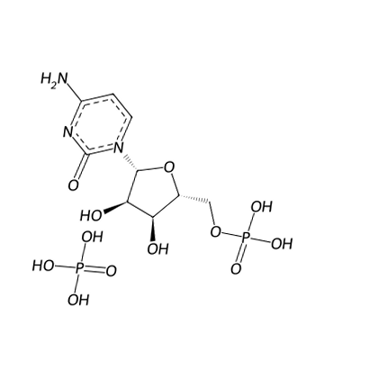 Nc1ccn([C@@H]2O[C@H](COP(=O)(O)O)[C@@H](O)[C@H]2O)c(=O)n1.O=P(O)(O)O